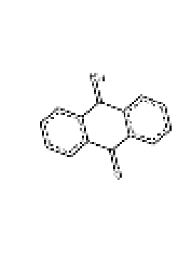 N=C1c2ccccc2C(=O)c2ccccc21